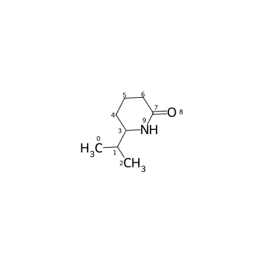 CC(C)C1CCCC(=O)N1